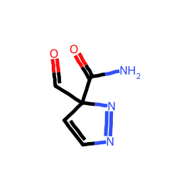 NC(=O)C1(C=O)C=CN=N1